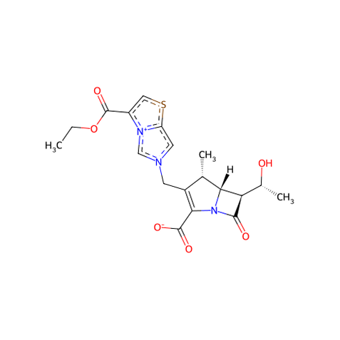 CCOC(=O)c1csc2cn(CC3=C(C(=O)[O-])N4C(=O)[C@H]([C@@H](C)O)[C@H]4[C@H]3C)c[n+]12